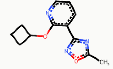 Cc1nc(-c2cccnc2OC2CCC2)no1